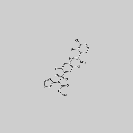 CC(C)(C)OC(=O)N(c1cscn1)S(=O)(=O)c1cc(Cl)c(N[C@@H](N)c2cccc(Cl)c2F)cc1F